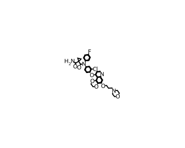 NC(=O)C1(C(=O)N(c2ccc(F)cc2)c2ccc(Oc3ccnc4cc(OCCCN5CCOCC5)c5c(c34)OCCO5)c(Cl)c2)CC1